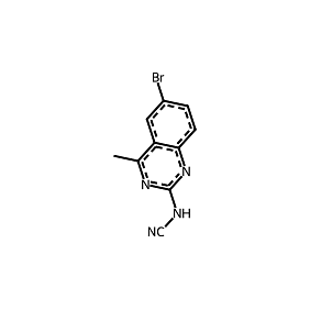 Cc1nc(NC#N)nc2ccc(Br)cc12